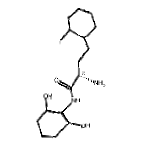 N[C@@H](CCC1CCCCC1I)C(=O)NC1C(O)CCCC1O